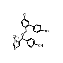 Cn1cncc1C(OCc1ccc(Cl)cc1-c1ccc(C(C)(C)C)cc1)c1ccc(C#N)cc1